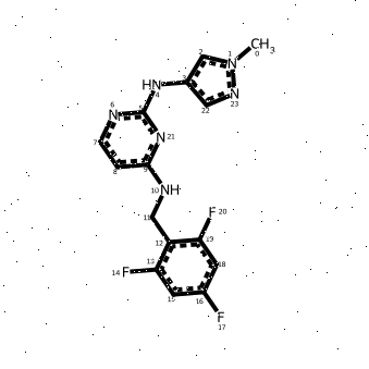 Cn1cc(Nc2nccc(NCc3c(F)cc(F)cc3F)n2)cn1